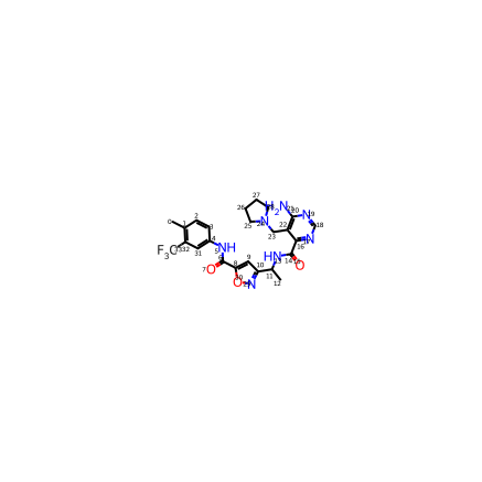 Cc1ccc(NC(=O)c2cc(C(C)NC(=O)c3ncnc(N)c3CN3CCCC3)no2)cc1C(F)(F)F